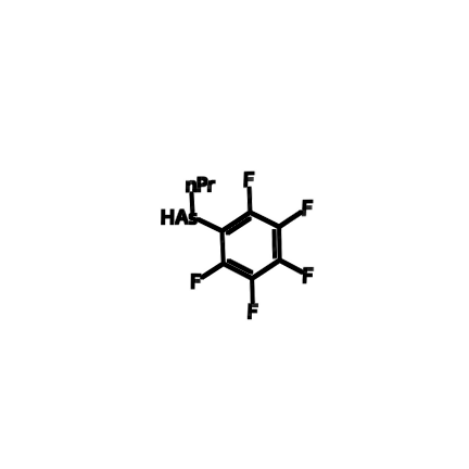 CCC[AsH]c1c(F)c(F)c(F)c(F)c1F